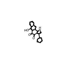 O=C1C(=O)c2c(cc3ccccc3c2O)-c2[nH]cc(-c3ccccc3)c21